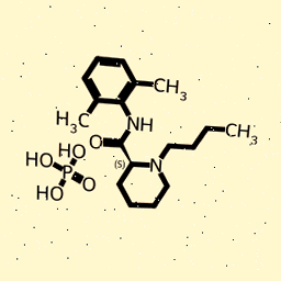 CCCCN1CCCC[C@H]1C(=O)Nc1c(C)cccc1C.O=P(O)(O)O